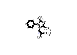 O=C(O)/C(Br)=C\N1C(C(F)(F)F)=NC(C(F)(F)F)N1c1ccccc1